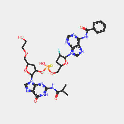 CC(C)C(=O)Nc1nc2c(ncn2C2OC(COCCO)CC2OP(O)(=S)OCC2CC(F)C(n3cnc4c(NC(=O)c5ccccc5)ncnc43)O2)c(=O)[nH]1